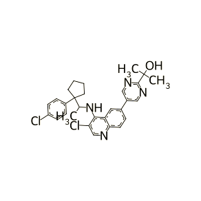 CC(Nc1c(Cl)cnc2ccc(-c3cnc(C(C)(C)O)nc3)cc12)C1(c2ccc(Cl)cc2)CCCC1